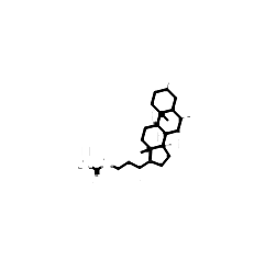 CC[C@@H]1C2C[C@H](O)CCC2(C)[C@H]2CCC3(C)C([C@H](C)CCNC(=O)NC(C)C)CC[C@H]3[C@@H]2[C@@H]1O